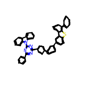 c1ccc(-c2nc(-c3ccc(-c4cccc(-c5ccc6sc7c(-c8ccccc8)cccc7c6c5)c4)cc3)nc(-n3c4ccccc4c4ccccc43)n2)cc1